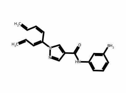 Bc1cccc(NC(=O)c2cnn(C(/C=C\C=C)=C/C=C)c2)c1